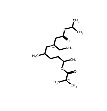 CC(CCC(C)OC(=O)[C@@H](C)N)C[C@H](CN)CC(=O)OC(C)C